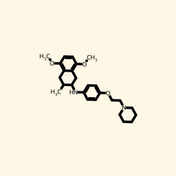 COc1ccc(OC)c2c1CC(C)C(Nc1ccc(OCCN3CCCCC3)cc1)C2